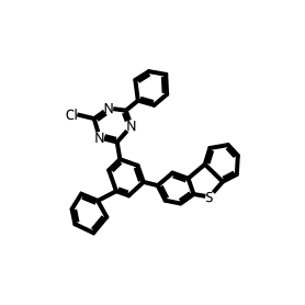 Clc1nc(-c2ccccc2)nc(-c2cc(-c3ccccc3)cc(-c3ccc4sc5ccccc5c4c3)c2)n1